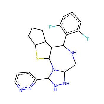 Fc1cccc(F)c1C1NCC2NNC(c3cccnn3)N2C2SC3CCCC3C12